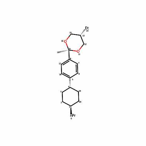 CCC[C@H]1CC[C@H](c2ccc([C@]3(C)OC[C@@H](CC)CO3)cc2)CC1